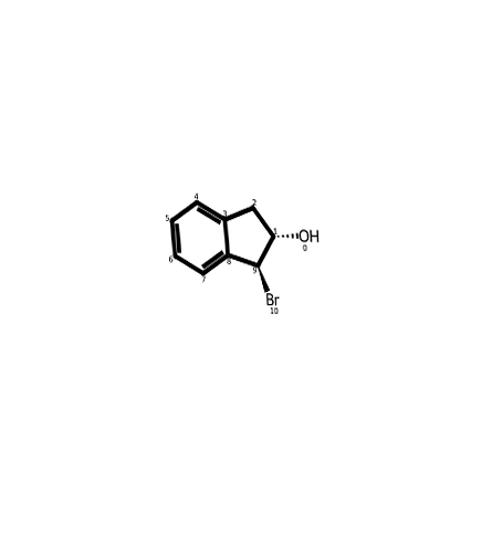 O[C@H]1Cc2ccccc2[C@@H]1Br